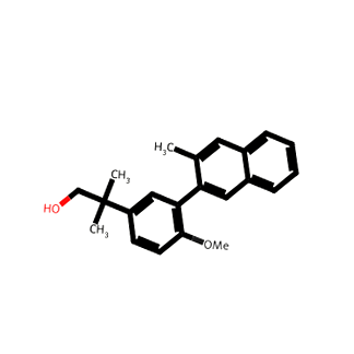 COc1ccc(C(C)(C)CO)cc1-c1cc2ccccc2cc1C